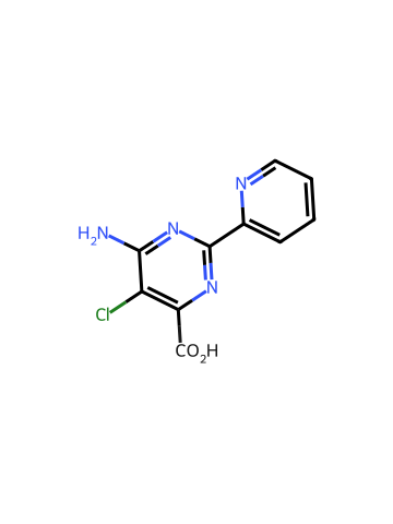 Nc1nc(-c2ccccn2)nc(C(=O)O)c1Cl